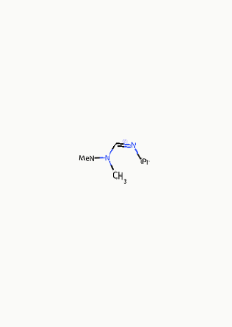 CNN(C)/C=N\C(C)C